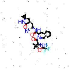 CC(C)(C)[C@H](NC(=O)C(F)(F)F)C(=O)N1C[Si]2(CCCC2)CC1C(=O)N[C@H](C#N)C[C@@H]1CC2(CC2)NC1=O